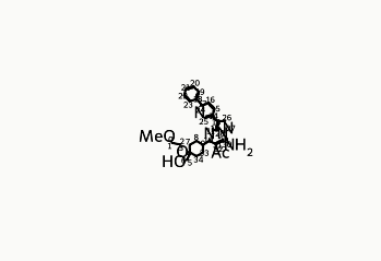 COCCOC1(CO)CCC(c2nc3c(-c4ccc(-c5ccccc5)nc4)cnn3c(N)c2C(C)=O)CC1